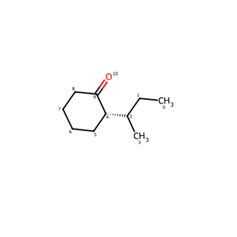 CCC(C)[C@@H]1CCCCC1=O